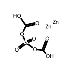 O=C(O)OS(=O)(=O)OC(=O)O.[Zn].[Zn]